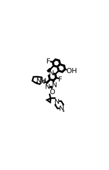 C#Cc1c(F)ccc2cc(O)cc(-c3ncc4c(N5CC6CCC(C5)N6)nc(OCC5(CN6CCN(C)CC6)CC5)nc4c3F)c12